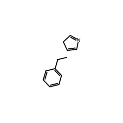 C1=CN=CC1.CCc1ccccc1